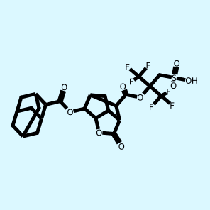 O=C(OC1C2CC3C1OC(=O)C3C2C(=O)OC(CS(=O)(=O)O)(C(F)(F)F)C(F)(F)F)C1C2CC3CC(C2)CC1C3